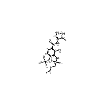 COCCS(=O)(=O)Nc1c(OC(F)(F)F)ccc(C(=O)NC2=NNNN2C)c1Cl